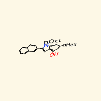 CCCCCCCCn1c(-c2ccc3ccccc3c2)cc2c(O)cc(CCCCCC)cc21